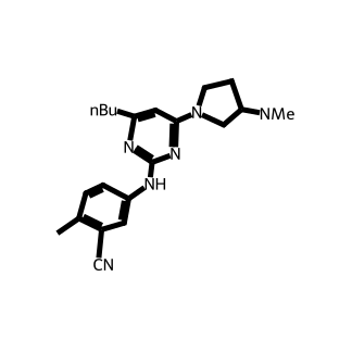 CCCCc1cc(N2CCC(NC)C2)nc(Nc2ccc(C)c(C#N)c2)n1